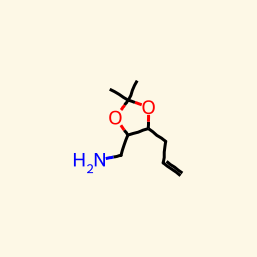 C=CCC1OC(C)(C)OC1CN